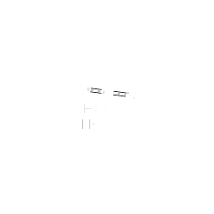 Cl.Cl.O=C=S